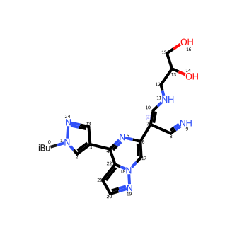 CCC(C)n1cc(-c2nc(/C(C=N)=C/NCC(O)CO)cn3nccc23)cn1